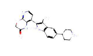 CC(C)c1c(-c2ccnc3c2NC(=O)CO3)[nH]c2ccc(C3CCNCC3)cc12